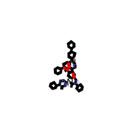 C=C/C=C(/c1ccccc1)C(C)N(C(/C=C\Cc1ccccc1)=C/C=C)c1ccc2c(c1)C(C)(C)C(C=C)=C2/C=C\N(c1ccc(-c2ccccc2)cc1)c1ccc(C2C=CC=CC2)cc1